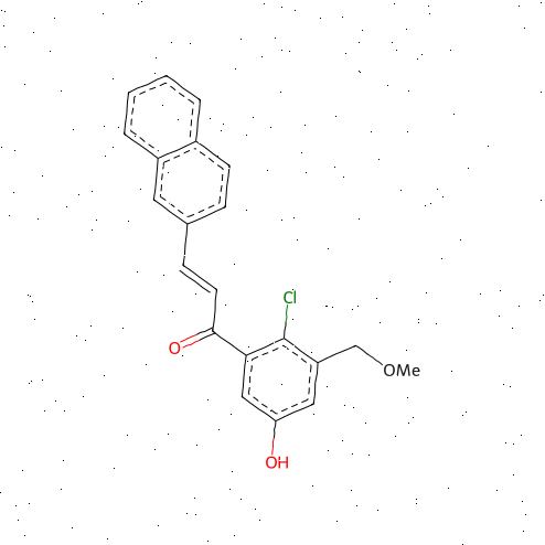 COCc1cc(O)cc(C(=O)/C=C/c2ccc3ccccc3c2)c1Cl